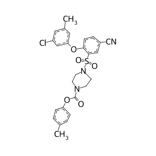 Cc1ccc(OC(=O)N2CCN(S(=O)(=O)c3cc(C#N)ccc3Oc3cc(C)cc(Cl)c3)CC2)cc1